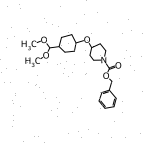 COC(OC)C1CCC(OC2CCN(C(=O)OCc3ccccc3)CC2)CC1